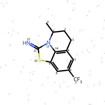 CC1CCc2cc(C(F)(F)F)cc3sc(=N)n1c23